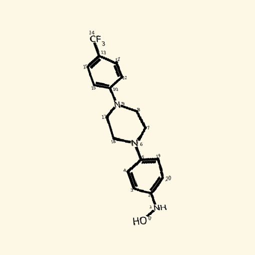 ONc1ccc(N2CCN(c3ccc(C(F)(F)F)cc3)CC2)cc1